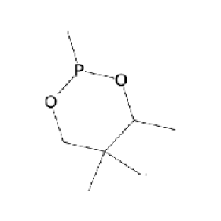 [CH2]C1(C)COP(C)OC1C